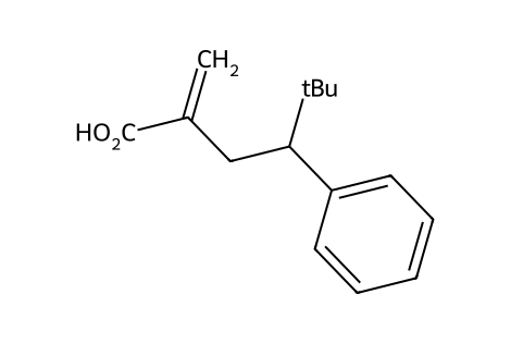 C=C(CC(c1ccccc1)C(C)(C)C)C(=O)O